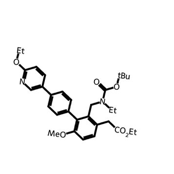 CCOC(=O)Cc1ccc(OC)c(-c2ccc(-c3ccc(OCC)nc3)cc2)c1CN(CC)C(=O)OC(C)(C)C